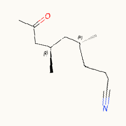 CC(=O)C[C@H](C)C[C@H](C)CCC#N